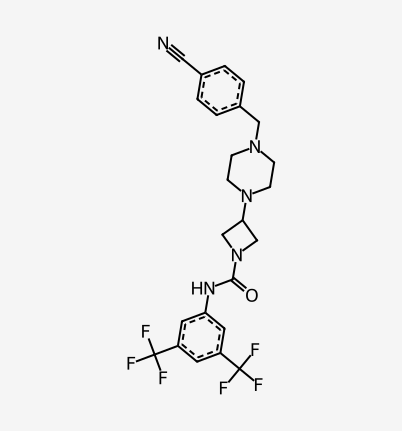 N#Cc1ccc(CN2CCN(C3CN(C(=O)Nc4cc(C(F)(F)F)cc(C(F)(F)F)c4)C3)CC2)cc1